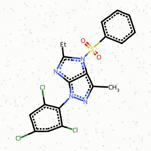 CCc1nc2c(c(C)nn2-c2c(Cl)cc(Cl)cc2Cl)n1S(=O)(=O)c1ccccc1